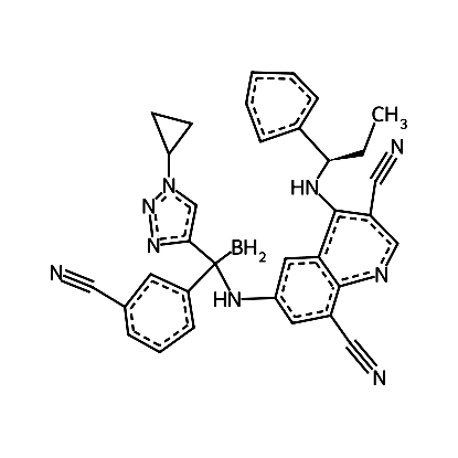 BC(Nc1cc(C#N)c2ncc(C#N)c(N[C@H](CC)c3ccccc3)c2c1)(c1cccc(C#N)c1)c1cn(C2CC2)nn1